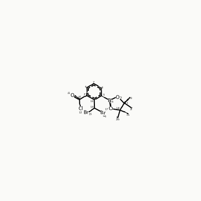 CC1(C)OB(c2cccc(C(=O)Cl)c2C(Br)Br)OC1(C)C